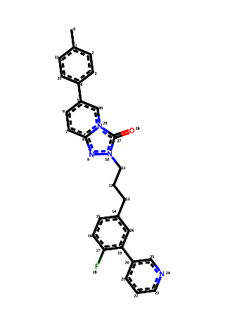 Cc1ccc(-c2ccc3nn(CCCc4ccc(F)c(-c5cccnc5)c4)c(=O)n3c2)cc1